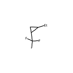 CCC1CC1C(F)(F)F